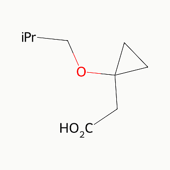 CC(C)COC1(CC(=O)O)CC1